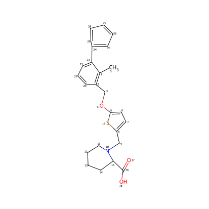 Cc1c(COc2ccc(CN3CCCCC3C(=O)O)s2)cccc1-c1ccccc1